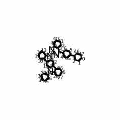 c1ccc(-c2ccc(-c3nc(-n4c5ccccc5c5cc6c(cc54)c4ccccc4n6-c4ccccc4)nc4ccccc34)cc2)cc1